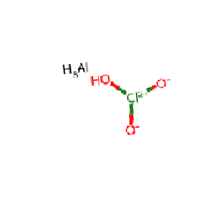 [AlH3].[O-][Cl+2]([O-])O